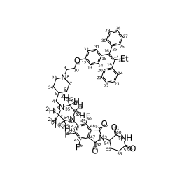 [2H]C1([2H])N(CC2CCN(CCOc3ccc(C(=C(CC)c4ccccc4)c4ccccc4)cc3)CC2)C([2H])([2H])C([2H])([2H])N(c2c(F)c(F)c3c(c2F)C(=O)N(C2CCC(=O)NC2=O)C3=O)C1([2H])[2H]